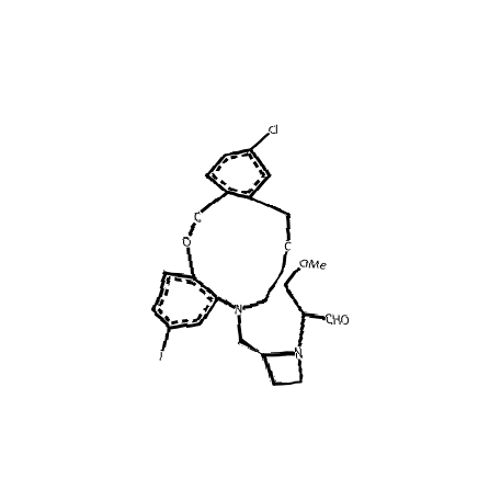 COCC(C=O)N1CC[C@H]1CN1CCCCc2cc(Cl)ccc2COc2ccc(I)cc21